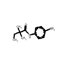 CCC(C)(C)C(=O)Nc1ccc(N)cc1